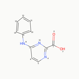 O=C(O)c1nccc(Nc2ccccc2)n1